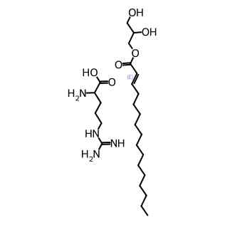 CCCCCCCCCCCCC/C=C/C(=O)OCC(O)CO.N=C(N)NCCCC(N)C(=O)O